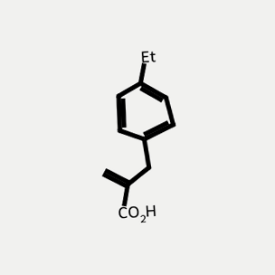 C=C(Cc1ccc(CC)cc1)C(=O)O